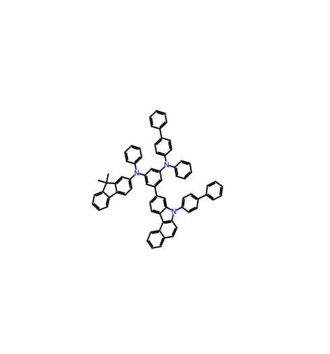 CC1(C)c2ccccc2-c2ccc(N(c3ccccc3)c3cc(-c4ccc5c6c7ccccc7ccc6n(-c6ccc(-c7ccccc7)cc6)c5c4)cc(N(c4ccccc4)c4ccc(-c5ccccc5)cc4)c3)cc21